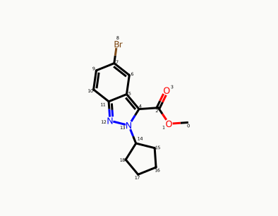 COC(=O)c1c2cc(Br)ccc2nn1C1CCCC1